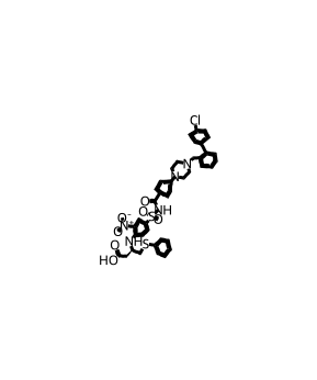 O=C(O)C[C@H](CSc1ccccc1)Nc1ccc(S(=O)(=O)NC(=O)c2ccc(N3CCN(Cc4ccccc4-c4ccc(Cl)cc4)CC3)cc2)cc1[N+](=O)[O-]